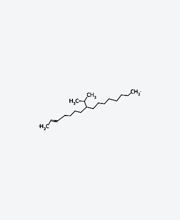 [CH2]/C=C/CCCCC(CCCCCCC[CH2])C(C)C